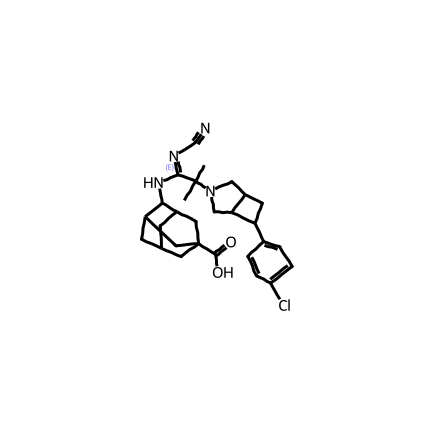 CC(C)(/C(=N\C#N)NC1C2CC3CC1CC(C(=O)O)(C3)C2)N1CC2CC(c3ccc(Cl)cc3)C2C1